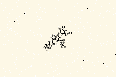 CN(C1CC(=O)N(c2cnn3c2CN(C(=O)OC(C)(C)C)[C@@H](Cc2cc(F)c(Cl)cc2N=C=O)C3)C1)S(C)(=O)=O